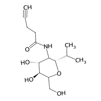 C#CCCC(=O)NC1[C@H](C(C)C)OC(CO)[C@@H](O)[C@@H]1O